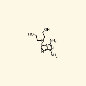 Nc1nc(N)n2c1ncn2N(CCO)CCO